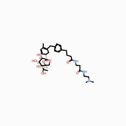 CC1=C(Cc2ccc(CCCC(=O)NCCC(=O)NCCN(C)C)cc2)CC([C@]23OC[C@](C(C)(C)O)(O2)[C@@H](O)[C@H](O)[C@H]3O)C=C1